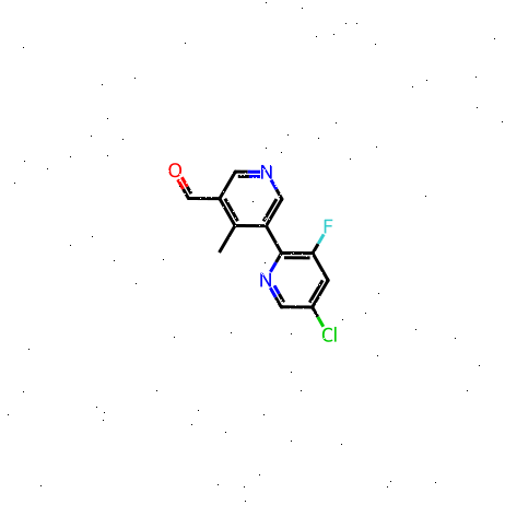 Cc1c(C=O)cncc1-c1ncc(Cl)cc1F